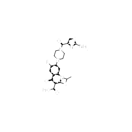 CC1Sc2c(C(=O)O)c(=O)c3cc(F)c(N4CCN(C(=O)c5csc(N)n5)CC4)cc3n21